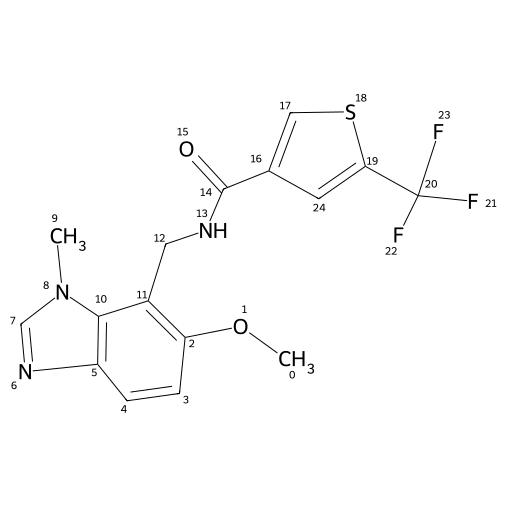 COc1ccc2ncn(C)c2c1CNC(=O)c1csc(C(F)(F)F)c1